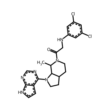 CC1C2C(CCN1C(=O)CNc1cc(Cl)cc(Cl)c1)CCN2c1ncnc2[nH]ccc12